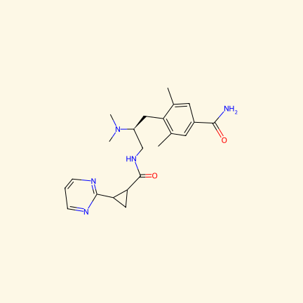 Cc1cc(C(N)=O)cc(C)c1C[C@@H](CNC(=O)C1CC1c1ncccn1)N(C)C